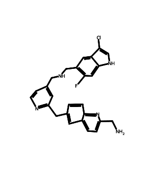 NCc1ccc2cc(Cc3cc(CNCc4cc5c(Cl)c[nH]c5cc4F)ccn3)ccc2n1